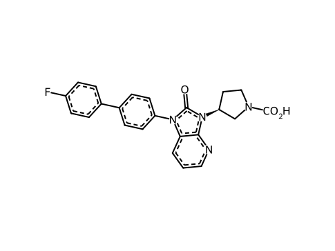 O=C(O)N1CC[C@H](n2c(=O)n(-c3ccc(-c4ccc(F)cc4)cc3)c3cccnc32)C1